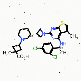 Cc1csc2nc(N3CC([C@H]4CCCN(C5CC(C)(C(=O)O)C5)C4)C3)nc(N[C@H](C)c3ccc(Cl)cc3Cl)c12